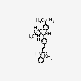 CC(C)NC(=O)C(Nc1ccc(C(C)C)cc1)c1ccc(C=CC(=O)Nc2ccccc2N)cc1